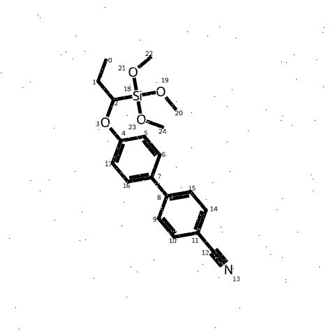 CCC(Oc1ccc(-c2ccc(C#N)cc2)cc1)[Si](OC)(OC)OC